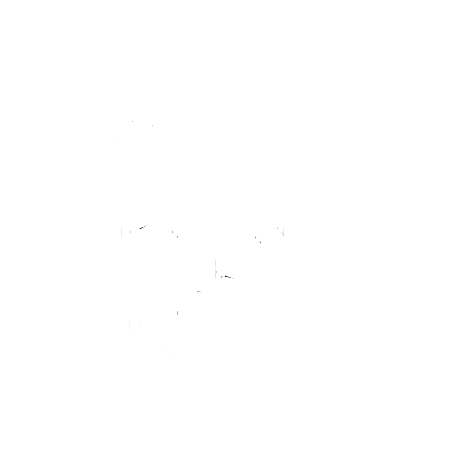 C[C@H](Nc1cc(-n2nc(C(F)(F)F)c3c2[C@H](NC24CC(C(=O)O)(C2)C4)CCC3)ccc1F)c1ccc2c(c1)OC(F)(F)O2